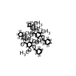 COc1cc(C(=O)NCC2(N(C)C)CCCC2)cc(OC)c1OCc1ccccc1.Cc1cc(C(=O)NCC2(N(C)C)CCC2)cc(C)c1OCc1ccccc1